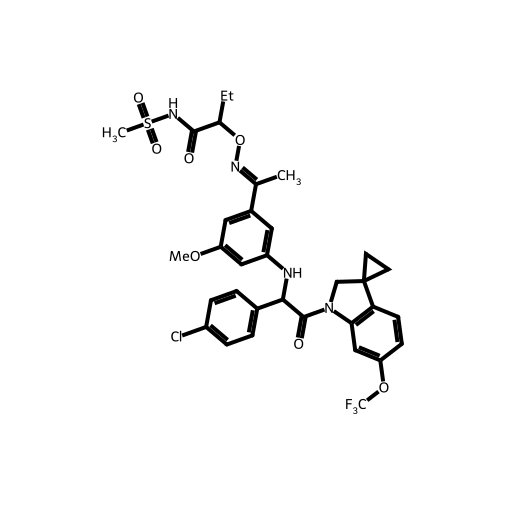 CCC(ON=C(C)c1cc(NC(C(=O)N2CC3(CC3)c3ccc(OC(F)(F)F)cc32)c2ccc(Cl)cc2)cc(OC)c1)C(=O)NS(C)(=O)=O